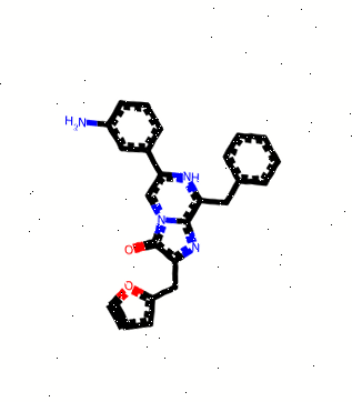 Nc1cccc(-c2cn3c(=O)c(Cc4cc#co4)nc-3c(Cc3ccccc3)[nH]2)c1